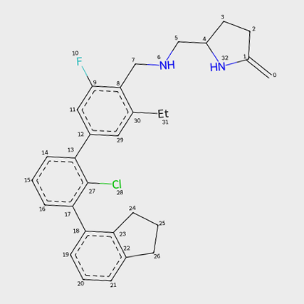 C=C1CCC(CNCc2c(F)cc(-c3cccc(-c4cccc5c4CCC5)c3Cl)cc2CC)N1